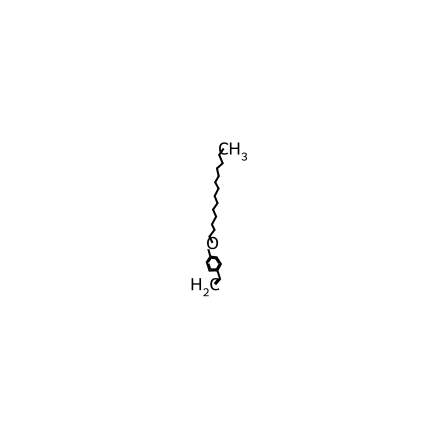 C=Cc1ccc(COCCCCCCCCCCCCCC)cc1